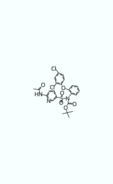 CC(=O)Nc1ccc(S(=O)(=O)N(C(=O)OC(C)(C)C)c2ccccc2Oc2ccc(Cl)cc2Cl)cn1